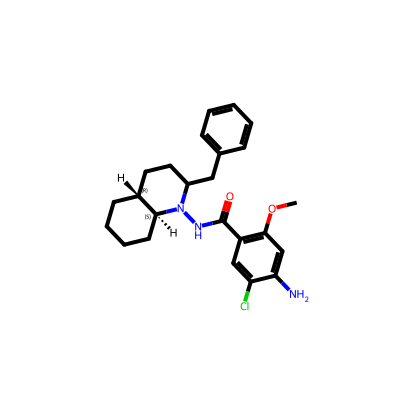 COc1cc(N)c(Cl)cc1C(=O)NN1C(Cc2ccccc2)CC[C@H]2CCCC[C@@H]21